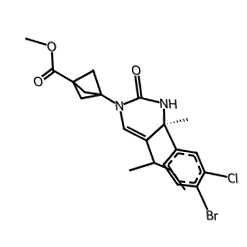 CCC(C)C1=CN(C23CC(C(=O)OC)(C2)C3)C(=O)N[C@@]1(C)c1ccc(Br)c(Cl)c1